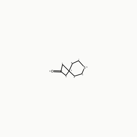 O=C1CC2(CCSCC2)C1